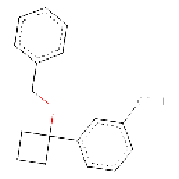 O=C(O)c1cccc(C2(OCc3ccccc3)CCC2)c1